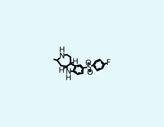 CC1C[C@H]2Nc3ccc(S(=O)(=O)c4ccc(F)cc4)cc3[C@H]2CCN1